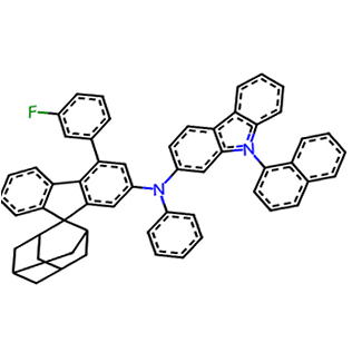 Fc1cccc(-c2cc(N(c3ccccc3)c3ccc4c5ccccc5n(-c5cccc6ccccc56)c4c3)cc3c2-c2ccccc2C32C3CC4CC(C3)CC2C4)c1